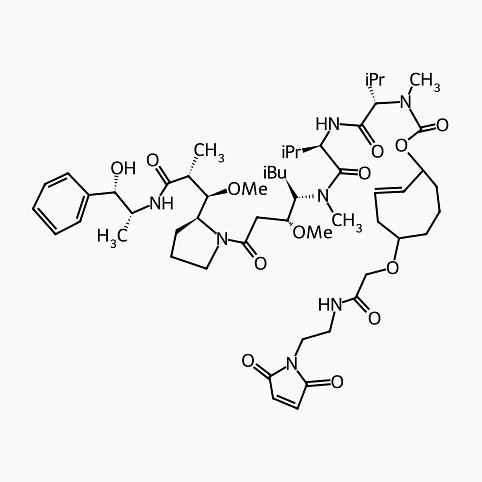 CC[C@H](C)[C@@H]([C@@H](CC(=O)N1CCC[C@H]1[C@H](OC)[C@@H](C)C(=O)N[C@H](C)[C@@H](O)c1ccccc1)OC)N(C)C(=O)[C@H](NC(=O)[C@H](C(C)C)N(C)C(=O)OC1/C=C/CC(OCC(=O)NCCN2C(=O)C=CC2=O)CCC1)C(C)C